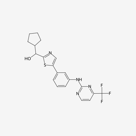 OC(c1ncc(-c2cccc(Nc3nccc(C(F)(F)F)n3)c2)s1)C1CCCC1